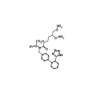 CC(C)[C@@H](C(=O)O)N(Cc1ccc(-c2ccccc2-c2nnn[nH]2)cc1)C(=O)CCCC(CO[N+](=O)[O-])O[N+](=O)[O-]